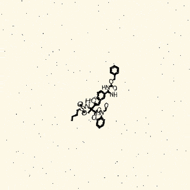 CCCCS(=O)(=O)NC(C)(C(=O)Oc1ccccc1NC=O)c1cc2cc(C(=N)NC(=O)OCc3ccccc3)ccc2o1